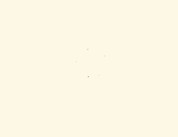 Cl[Si]1(Cl)[SiH2][SiH2][SiH2][SiH2]1